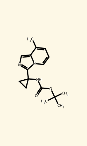 Cc1cccn2c(C3(NC(=O)OC(C)(C)C)CC3)ncc12